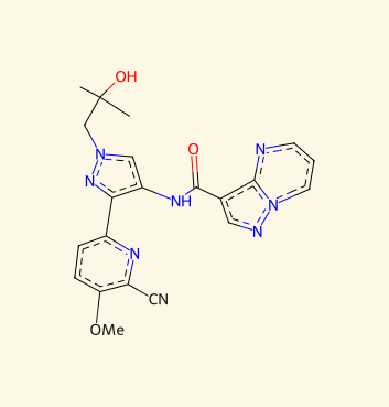 COc1ccc(-c2nn(CC(C)(C)O)cc2NC(=O)c2cnn3cccnc23)nc1C#N